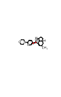 C[C@H]1C=C2C(=O)O[C@H]3CC[C@@H](C1)[C@@]23OCc1ccc(N2CCOCC2)nc1